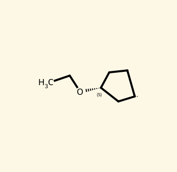 CCO[C@H]1C[CH]CC1